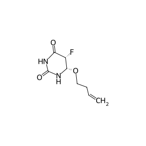 C=CCCO[C@@H]1NC(=O)NC(=O)[C@@H]1F